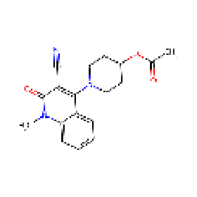 CC(=O)OC1CCN(c2c(C#N)c(=O)n(C)c3ccccc23)CC1